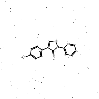 Cc1ccc(-c2c[nH]n(-c3ccccn3)c2=O)cc1